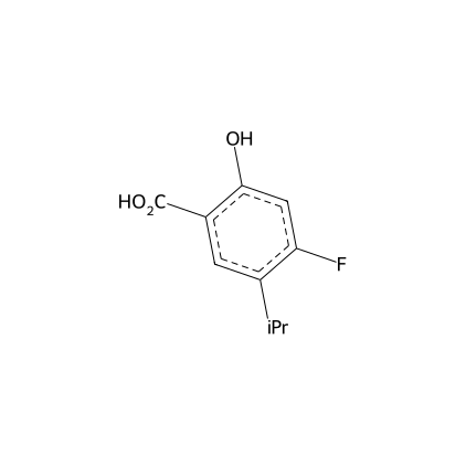 CC(C)c1cc(C(=O)O)c(O)cc1F